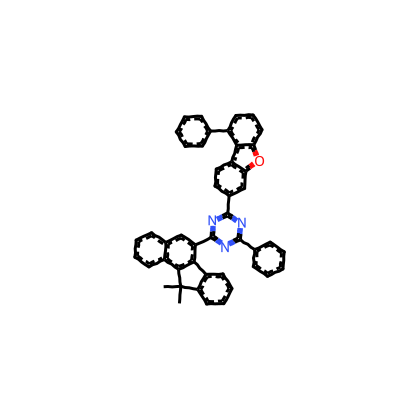 CC1(C)c2ccccc2-c2c(-c3nc(-c4ccccc4)nc(-c4ccc5c(c4)oc4cccc(-c6ccccc6)c45)n3)cc3ccccc3c21